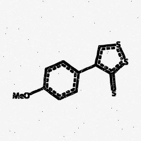 COc1ccc(-c2cssc2=S)cc1